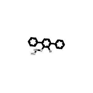 OBOc1c(-c2ccccc2)ccc(-c2ccccc2)c1Br